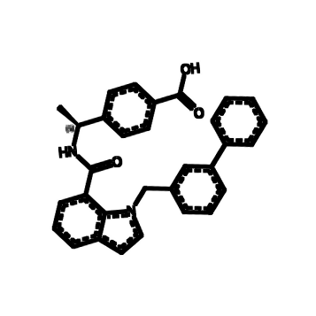 C[C@H](NC(=O)c1cccc2ccn(Cc3cccc(-c4ccccc4)c3)c12)c1ccc(C(=O)O)cc1